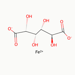 O=C([O-])[C@@H](O)[C@@H](O)[C@H](O)[C@@H](O)C(=O)[O-].[Fe+2]